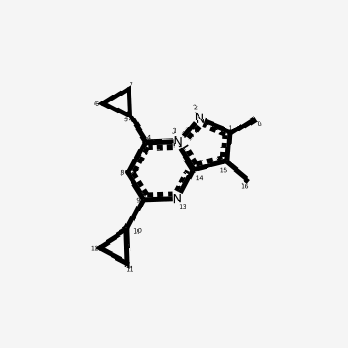 Cc1nn2c(C3CC3)cc(C3CC3)nc2c1C